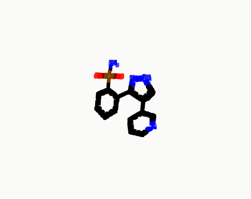 NS(=O)(=O)c1ccccc1-c1n[nH]cc1-c1cccnc1